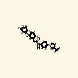 CC(C)C1CCN(c2ccc(NC(=O)Cc3cccc(Oc4ccccc4)c3)cc2)C1